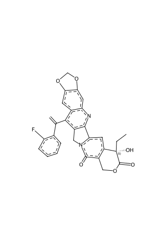 C=C(c1ccccc1F)c1c2c(nc3cc4c(cc13)OCO4)-c1cc3c(c(=O)n1C2)COC(=O)[C@]3(O)CC